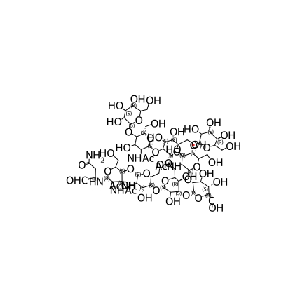 CC(=O)NC1C(O)C(O[C@@H]2OC(CO)[C@H](O)[C@H](O)C2O)[C@H](CO)O[C@H]1OC1[C@@H](OCC2O[C@@H](O[C@@H]3C(CO)O[C@@H](O[C@@H]4C(CO)O[C@@H](N[C@@H](C=O)CC(N)=O)C(NC(C)=O)[C@H]4O)C(NC(C)=O)[C@H]3O)C(O)[C@@H](O[C@H]3O[C@H](CO)[C@@H](O)C(O)C3O[C@@H]3OC(CO)[C@@H](O[C@@H]4OC(CO)[C@H](O)[C@H](O)C4O)[C@H](O)C3NC(C)=O)[C@@H]2O)OC(CO)[C@@H](O)[C@@H]1O